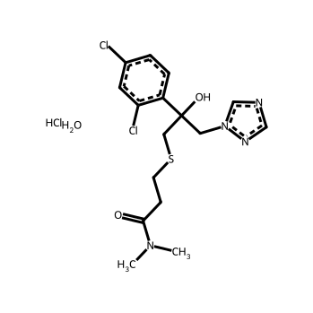 CN(C)C(=O)CCSCC(O)(Cn1cncn1)c1ccc(Cl)cc1Cl.Cl.O